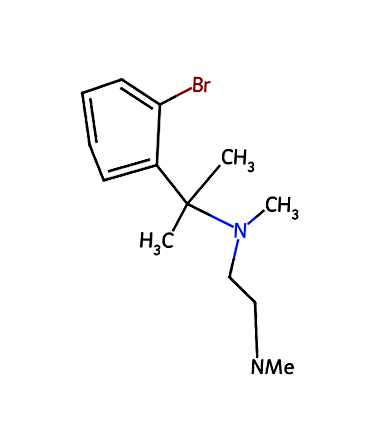 CNCCN(C)C(C)(C)c1ccccc1Br